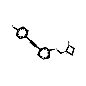 Fc1ccc(C#Cc2cncc(OC[C@@H]3CCN3)c2)cc1